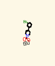 CC(C)(C)OC(=O)N1CC=C(c2cccc(Br)c2)CC1